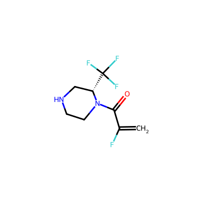 C=C(F)C(=O)N1CCNC[C@@H]1C(F)(F)F